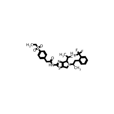 CCS(=O)(=O)c1ccc(CC(=O)Nc2nc3c(s2)CN([C@H](C)Cc2ccccc2C(F)(F)F)C3C(C)C)cc1